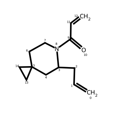 C=CCC1CC2(CCN1C(=O)C=C)CC2